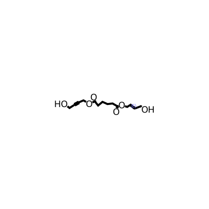 O=C(CCCCC(=O)OC/C=C/CO)OCC#CCO